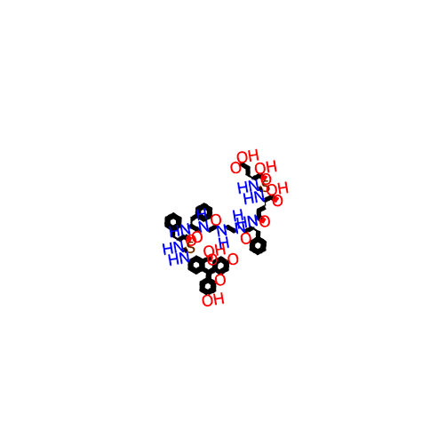 O=C(O)CC[C@H](NC(=S)N[C@@H](CCC(=O)N[C@@H](Cc1ccccc1)C(=O)NCCNC(=O)CNC(=O)[C@H](Cc1ccccc1)NC(=O)[C@H](Cc1ccccc1)NC(=S)Nc1ccc(-c2c3ccc(=O)cc-3oc3cc(O)ccc23)c(C(=O)O)c1)C(=O)O)C(=O)O